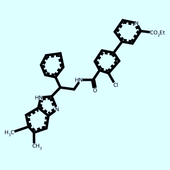 CCOC(=O)c1cc(-c2ccc(C(=O)NCC(c3ccccc3)c3nc4cc(C)c(C)cc4[nH]3)c(Cl)c2)ccn1